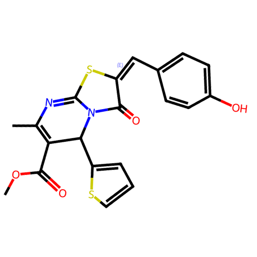 COC(=O)C1=C(C)N=c2s/c(=C/c3ccc(O)cc3)c(=O)n2C1c1cccs1